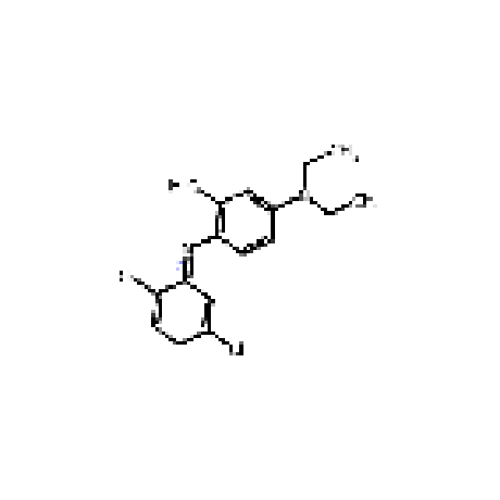 CCN(CC)c1ccc(/N=C2\C=C(Cl)CC=C2Cl)c(C)c1